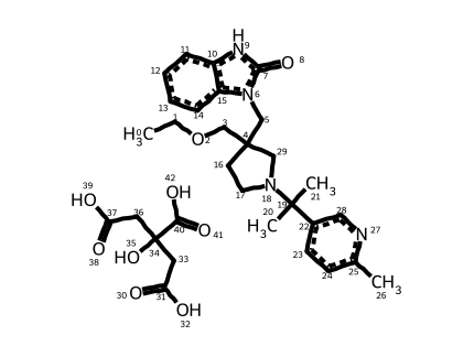 CCOCC1(Cn2c(=O)[nH]c3ccccc32)CCN(C(C)(C)c2ccc(C)nc2)C1.O=C(O)CC(O)(CC(=O)O)C(=O)O